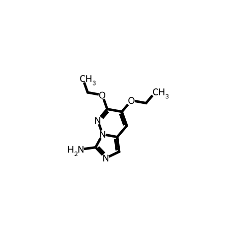 CCOc1cc2cnc(N)n2nc1OCC